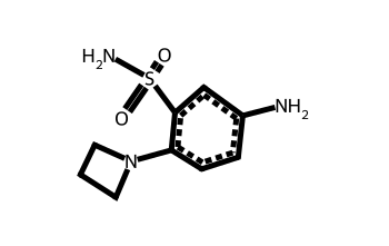 Nc1ccc(N2CCC2)c(S(N)(=O)=O)c1